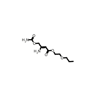 CCCOCCOC(=O)C=C(N)COC(N)=O